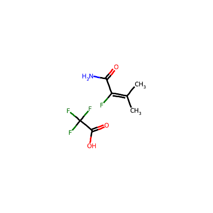 CC(C)=C(F)C(N)=O.O=C(O)C(F)(F)F